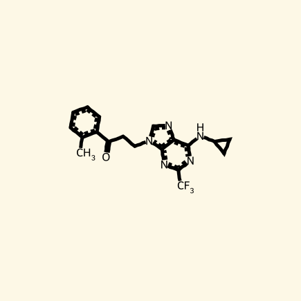 Cc1ccccc1C(=O)CCn1cnc2c(NC3CC3)nc(C(F)(F)F)nc21